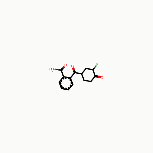 NC(=O)c1ccccc1C(=O)C1CCC(=O)C(F)C1